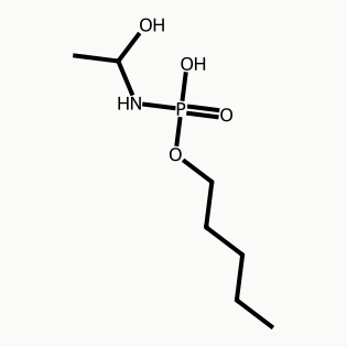 CCCCCOP(=O)(O)NC(C)O